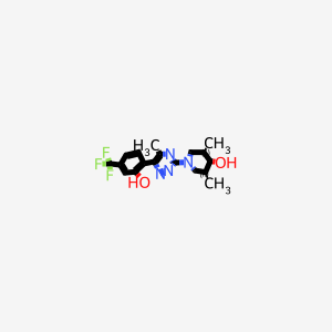 Cc1nc(N2C[C@@H](C)C(O)[C@@H](C)C2)nnc1-c1ccc(C(F)(F)F)cc1O